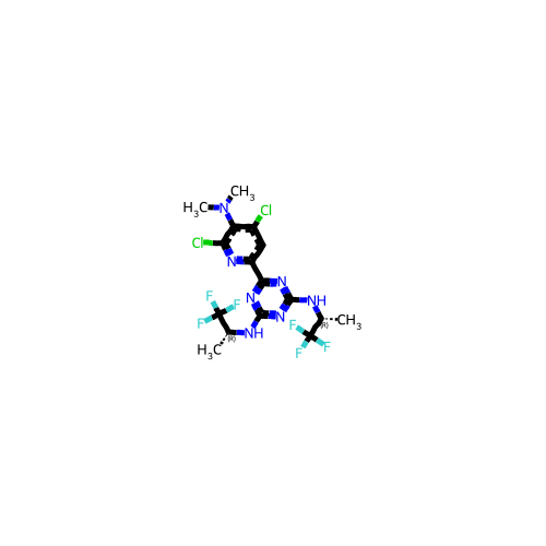 C[C@@H](Nc1nc(N[C@H](C)C(F)(F)F)nc(-c2cc(Cl)c(N(C)C)c(Cl)n2)n1)C(F)(F)F